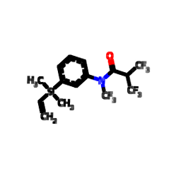 C=C[Si](C)(C)c1cccc(N(C(=O)C(C(F)(F)F)C(F)(F)F)C(F)(F)F)c1